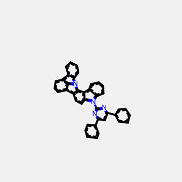 c1ccc(-c2cc(-c3ccccc3)nc(-n3c4ccccc4c4c3ccc3c5cccc6c7ccccc7n(c65)c34)n2)cc1